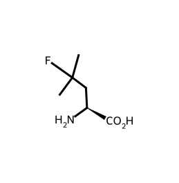 CC(C)(F)C[C@H](N)C(=O)O